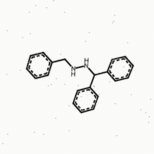 c1ccc(CNNC(c2ccccc2)c2ccccc2)cc1